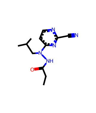 CCC(=O)NN(CC(C)C)c1ccnc(C#N)n1